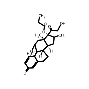 CCC(=O)O[C@]1(C(=O)CO)C(C)C[C@H]2[C@@H]3CCC4=CC(=O)C=C[C@]4(C)[C@]34OC4C[C@@]21C